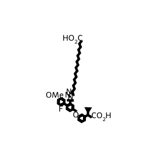 COc1ccc(F)c(-c2ccc(COc3cccc(C(CC(=O)O)C4CC4)c3)cc2C(C)(C)n2cc(CCCCCCCCCCCCCCCCCC(=O)O)nn2)c1